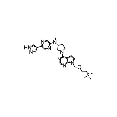 CN(c1cnc(-c2cn[nH]c2)cn1)[C@@H]1CCN(c2ncnc3c2ccn3COCC[Si](C)(C)C)C1